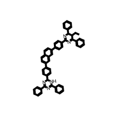 CCC1C(c2ccccc2)=NC(c2ccc(-c3ccc4ccc(-c5ccc(C6N=C(c7ccccc7)N=C(c7ccccc7)N6)cc5)cc4c3)cc2)=NC1c1ccccc1